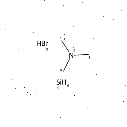 Br.CN(C)C.[SiH4]